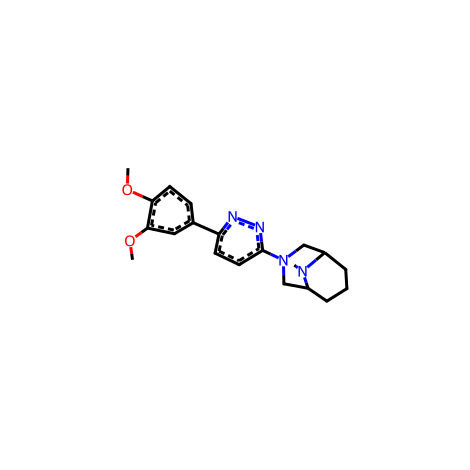 COc1ccc(-c2ccc(N3CC4CCCC(C3)N4C)nn2)cc1OC